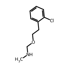 CNCOCCc1ccccc1Cl